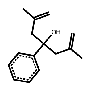 C=C(C)CC(O)(CC(=C)C)c1ccccc1